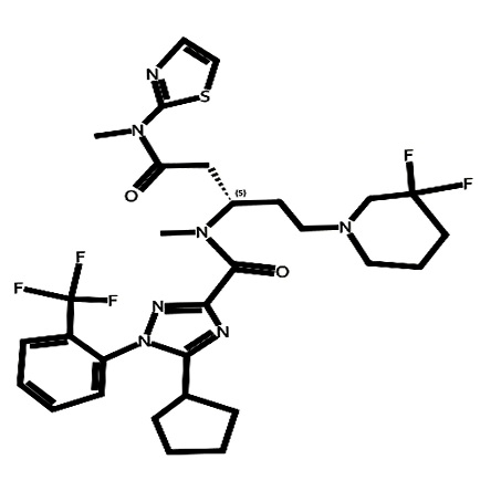 CN(C(=O)C[C@H](CCN1CCCC(F)(F)C1)N(C)C(=O)c1nc(C2CCCC2)n(-c2ccccc2C(F)(F)F)n1)c1nccs1